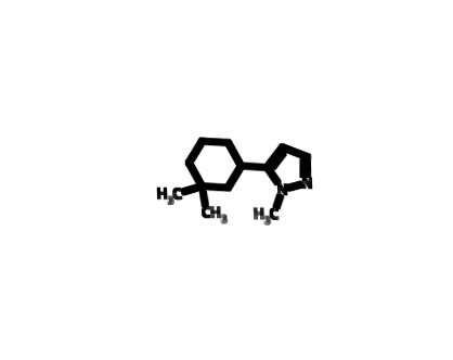 Cn1nccc1C1CCCC(C)(C)C1